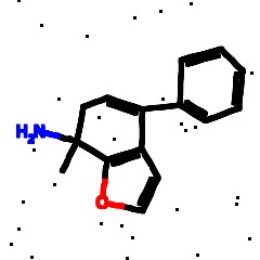 CC1(N)CC=C(c2ccccc2)c2ccoc21